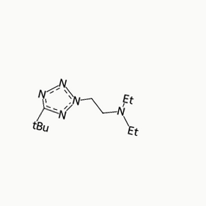 CCN(CC)CCn1nnc(C(C)(C)C)n1